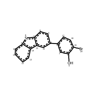 Oc1cc(-c2ccc3sc4ccccc4c3c2)ccc1Br